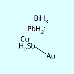 [BiH3].[Cu].[PbH2].[SbH2][Au]